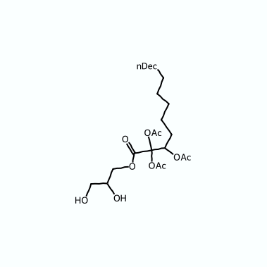 CCCCCCCCCCCCCCCC(OC(C)=O)C(OC(C)=O)(OC(C)=O)C(=O)OCC(O)CO